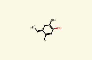 CCCC=C1CC(C(C)(C)C)=C(O)C=C1C